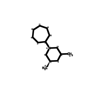 CC1C[C@H](C)CN(C2CCCCCC2)C1